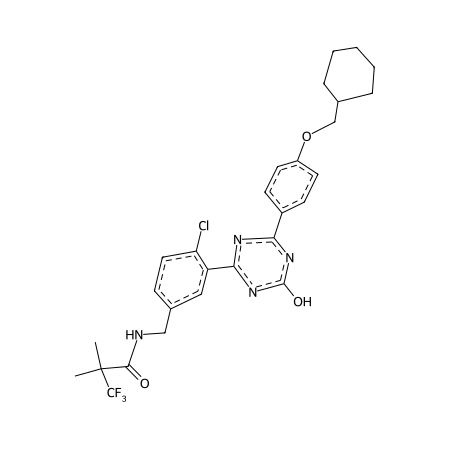 CC(C)(C(=O)NCc1ccc(Cl)c(-c2nc(O)nc(-c3ccc(OCC4CCCCC4)cc3)n2)c1)C(F)(F)F